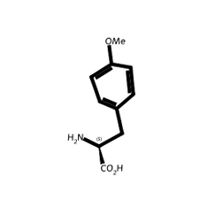 [CH2-][OH+]c1ccc(C[C@H](N)C(=O)O)cc1